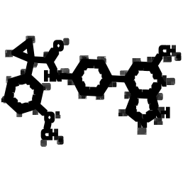 COc1cccc(C2(C(=O)Nc3ccc(-c4cc(C)nc5[nH]ncc45)cc3)CC2)c1